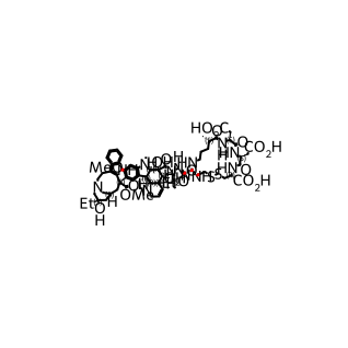 CC[C@]1(O)C[C@H]2CN(CCc3c([nH]c4ccccc34)[C@@](C(=O)OC)(c3cc4c(cc3OC)N(C)[C@H]3[C@](O)(C(=O)NNC(=O)OCCSSC[C@H](NC(=O)[C@H](CC(=O)O)NC(=O)[C@H](CC(=O)O)NC(=O)[C@@H](C)CCCNC(=N)N)C(=O)O)[C@H](O)[C@]5(CC)C=CCN6CC[C@]43[C@@H]65)C2)C1